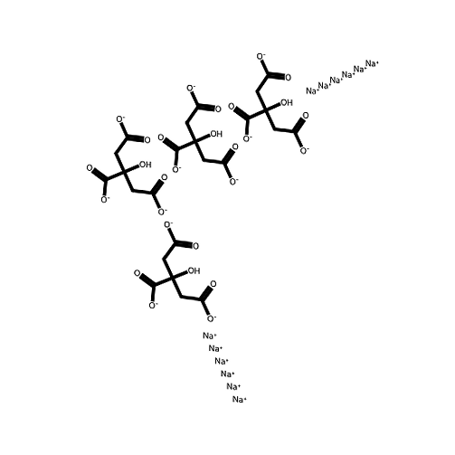 O=C([O-])CC(O)(CC(=O)[O-])C(=O)[O-].O=C([O-])CC(O)(CC(=O)[O-])C(=O)[O-].O=C([O-])CC(O)(CC(=O)[O-])C(=O)[O-].O=C([O-])CC(O)(CC(=O)[O-])C(=O)[O-].[Na+].[Na+].[Na+].[Na+].[Na+].[Na+].[Na+].[Na+].[Na+].[Na+].[Na+].[Na+]